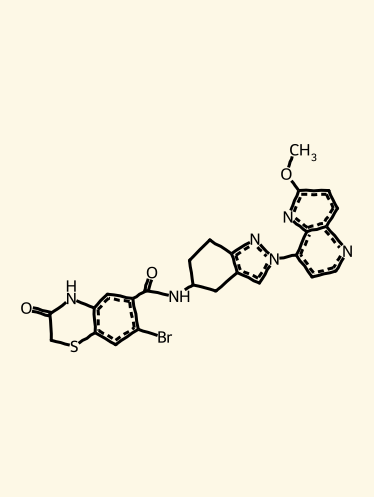 COc1ccc2nccc(-n3cc4c(n3)CCC(NC(=O)c3cc5c(cc3Br)SCC(=O)N5)C4)c2n1